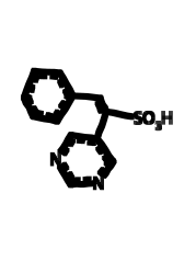 O=S(=O)(O)C(=Cc1ccccc1)c1cncnc1